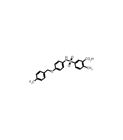 Cc1ccc(S(=O)(=O)Nc2ccc(SCc3ccc(C(F)(F)F)cc3)cc2)cc1C(=O)O